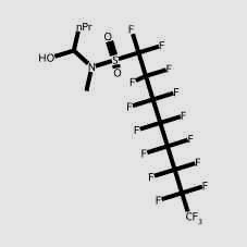 CCCC(O)N(C)S(=O)(=O)C(F)(F)C(F)(F)C(F)(F)C(F)(F)C(F)(F)C(F)(F)C(F)(F)C(F)(F)F